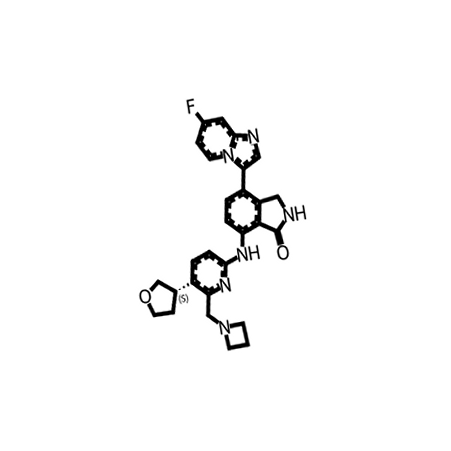 O=C1NCc2c(-c3cnc4cc(F)ccn34)ccc(Nc3ccc([C@@H]4CCOC4)c(CN4CCC4)n3)c21